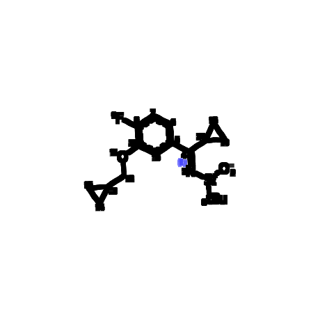 CC(C)(C)[S+]([O-])/N=C(/c1ccc(F)c(OCC2CC2)c1)C1CC1